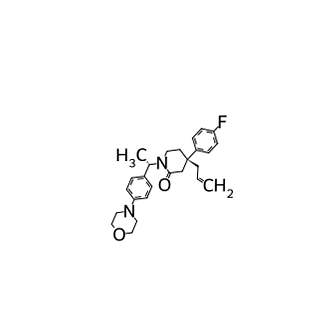 C=CC[C@]1(c2ccc(F)cc2)CCN([C@@H](C)c2ccc(N3CCOCC3)cc2)C(=O)C1